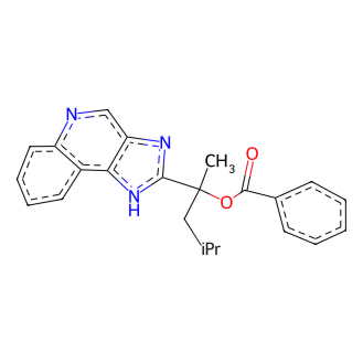 CC(C)CC(C)(OC(=O)c1ccccc1)c1nc2cnc3ccccc3c2[nH]1